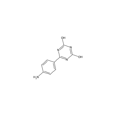 Nc1ccc(-c2nc(O)nc(O)n2)cc1